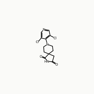 O=C1CC2(CCN(c3c(Cl)cncc3Cl)CC2)C(=O)N1